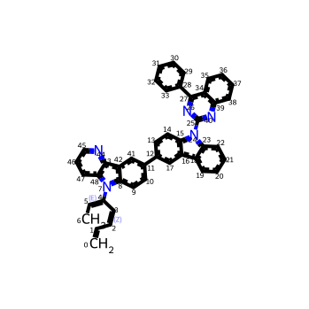 C=C/C=C\C(=C/C)n1c2ccc(-c3ccc4c(c3)c3ccccc3n4-c3nc(-c4ccccc4)c4ccccc4n3)cc2c2ncccc21